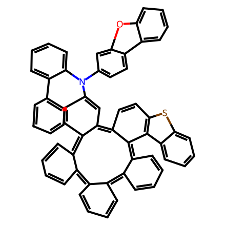 c1ccc(-c2ccccc2N(c2ccc3c(c2)oc2ccccc23)c2ccc3c4ccccc4c4ccccc4c4ccccc4c4c(ccc5sc6ccccc6c54)c3c2)cc1